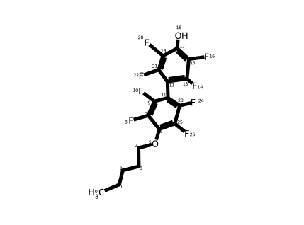 CCCCCOc1c(F)c(F)c(-c2c(F)c(F)c(O)c(F)c2F)c(F)c1F